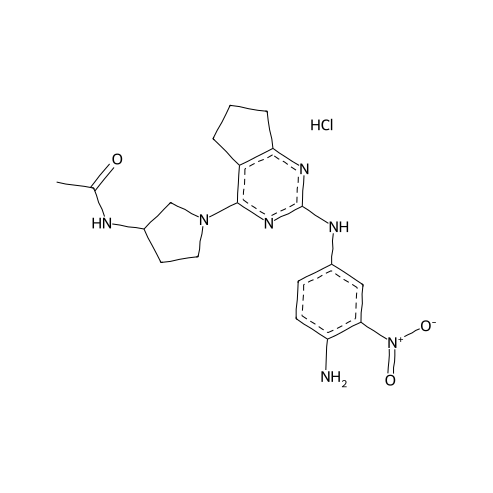 CC(=O)NC1CCN(c2nc(Nc3ccc(N)c([N+](=O)[O-])c3)nc3c2CCC3)C1.Cl